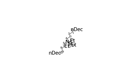 CCCCCCCCCCCCCCN(CCCCCCCCCCCCCC)[Si](CC)(CC)CC